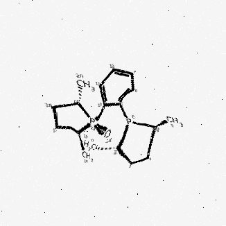 C[C@H]1CC[C@H](C)P1c1ccccc1P1(=O)[C@@H](C)CC[C@@H]1C